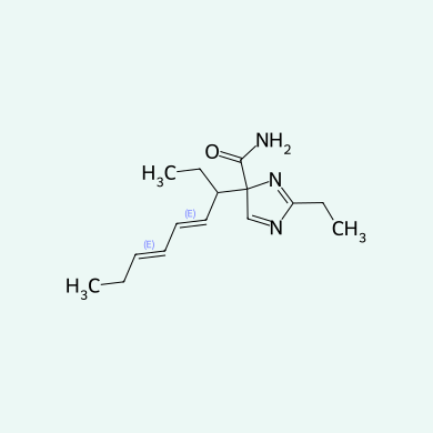 CC/C=C/C=C/C(CC)C1(C(N)=O)C=NC(CC)=N1